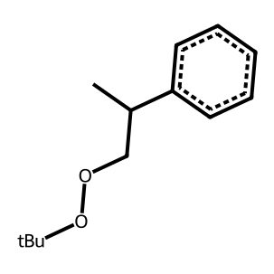 CC(COOC(C)(C)C)c1ccccc1